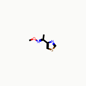 CON=C(C)c1cs[c]n1